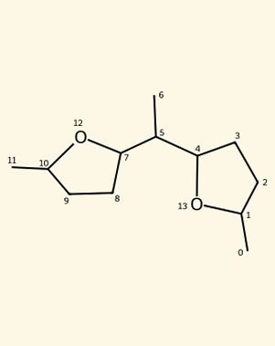 CC1CCC(C(C)C2CCC(C)O2)O1